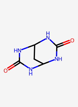 O=C1NC2CC(N1)NC(=O)N2